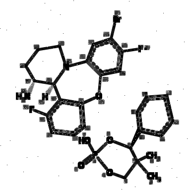 CC1(C)COP(=O)(O)O[C@H]1c1ccccc1.N[C@@H]1CCCN2c3cc(Br)c(F)cc3Oc3cccc(F)c3[C@@H]12